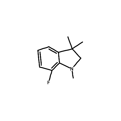 CN1CC(C)(C)c2cccc(F)c21